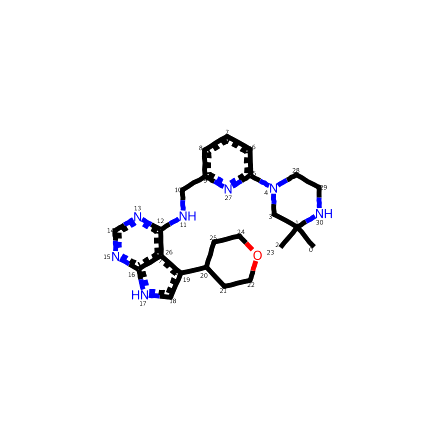 CC1(C)CN(c2cccc(CNc3ncnc4[nH]cc(C5CCOCC5)c34)n2)CCN1